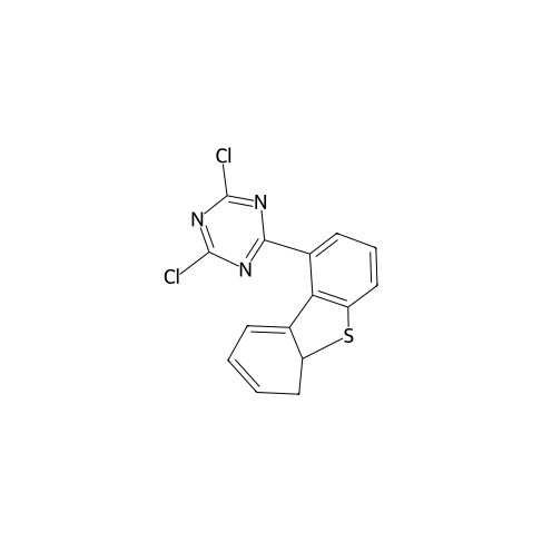 Clc1nc(Cl)nc(-c2cccc3c2C2=CC=CCC2S3)n1